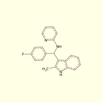 Cc1[nH]c2ccccc2c1C(Nc1ccccn1)c1ccc(F)cc1